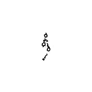 CC(C)(C)OC(=O)CCCOc1ccc(NC(=O)Cn2c(=O)n(S(=O)(=O)c3ccc(Cl)cc3)c(=O)c3ccc(Cl)cc32)cc1